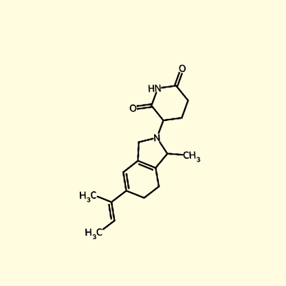 C/C=C(\C)C1=CC2=C(CC1)C(C)N(C1CCC(=O)NC1=O)C2